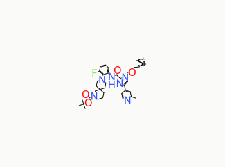 Cc1cc(-c2cn(COCC[Si](C)(C)C)c(C(=O)Nc3cccc(F)c3N3CCC4(CCCN(C(=O)OC(C)(C)C)C4)CC3)n2)ccn1